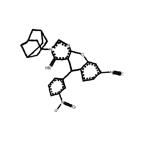 [C-]#[N+]c1ccc2c(c1)Oc1ncn(C34CC5CC(CC(C5)C3)C4)c(=N)c1C2c1cccc([N+](=O)[O-])c1